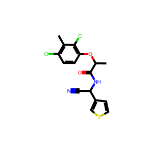 Cc1c(Cl)ccc(OC(C)C(=O)NC(C#N)c2ccsc2)c1Cl